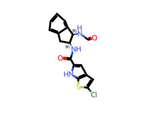 O=CN[C@@H]1c2ccccc2C[C@H]1NC(=O)c1cc2cc(Cl)sc2[nH]1